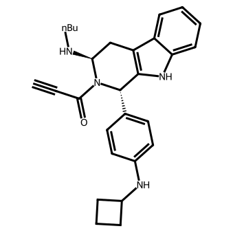 C#CC(=O)N1[C@@H](c2ccc(NC3CCC3)cc2)c2[nH]c3ccccc3c2C[C@@H]1NCCCC